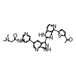 CC(=O)c1ccc(-c2nccc3[nH]c(-c4n[nH]c5ncc(-c6cncc(NC(=O)CN(C)C)c6)cc45)nc23)s1